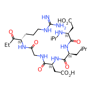 CCC(=O)[C@H](CCCNC(=N)N)NC(=O)CNC(=O)[C@H](CC(=O)O)NC(=O)[C@H](CC(C)C)NC(=O)[C@H](CC(=O)O)NC(C)C